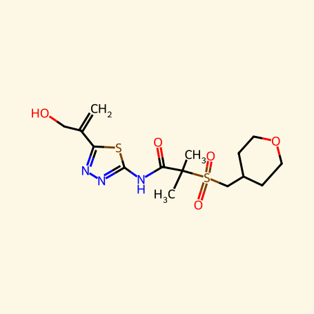 C=C(CO)c1nnc(NC(=O)C(C)(C)S(=O)(=O)CC2CCOCC2)s1